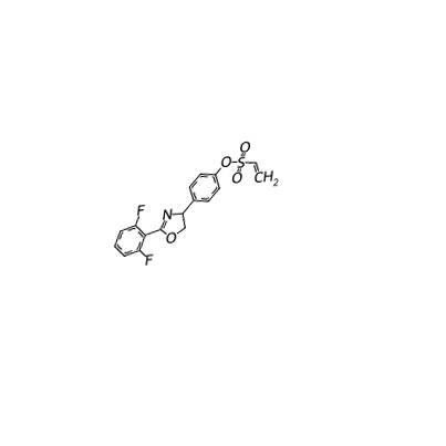 C=CS(=O)(=O)Oc1ccc(C2COC(c3c(F)cccc3F)=N2)cc1